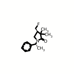 C[C@H](c1ccccc1)N1C[C@@H](CF)C(C)(C)C1=O